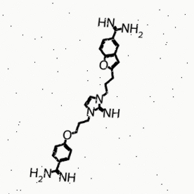 N=C(N)c1ccc(OCCCn2ccn(CCCc3cc4cc(C(=N)N)ccc4o3)c2=N)cc1